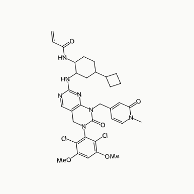 C=CC(=O)NC1CCC(C2CCC2)CC1Nc1ncc2c(n1)N(Cc1ccn(C)c(=O)c1)C(=O)N(c1c(Cl)c(OC)cc(OC)c1Cl)C2